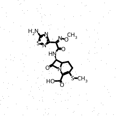 CO/N=C(\C(=O)N[C@@H]1C(=O)N2C(C(=O)O)=C(SC)CCC12)c1nsc(N)n1